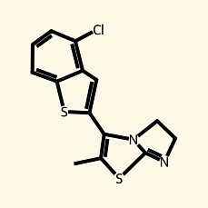 CC1=C(c2cc3c(Cl)cccc3s2)N2CCN=C2S1